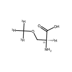 [2H]C([2H])([2H])OC[C@]([2H])(N)C(=O)O